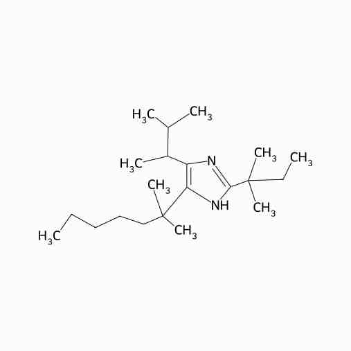 CCCCCC(C)(C)c1[nH]c(C(C)(C)CC)nc1C(C)C(C)C